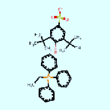 CC(C)(C)c1cc(S(=O)(=O)[O-])cc(C(C)(C)C)c1O.CC[P+](c1ccccc1)(c1ccccc1)c1ccccc1